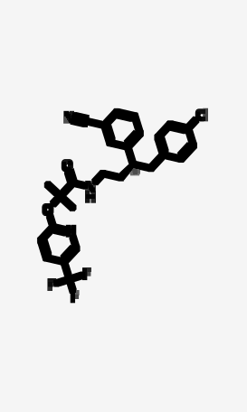 CC(C)(Oc1ccc(C(F)(F)F)cn1)C(=O)NCC[C@H](Cc1ccc(Cl)cc1)c1cccc(C#N)c1